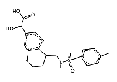 O=C(O)C(O)c1ccc2c(c1)CCCC2CNS(=O)(=O)c1ccc(F)cc1